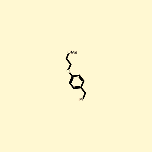 COCCOc1ccc(CC(C)C)cc1